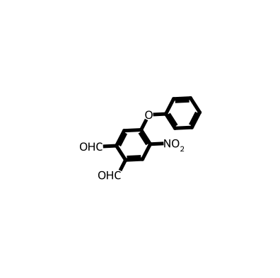 O=Cc1cc(Oc2ccccc2)c([N+](=O)[O-])cc1C=O